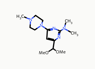 COC(OC)c1cc(N2CCN(C)CC2)nc(N(C)C)n1